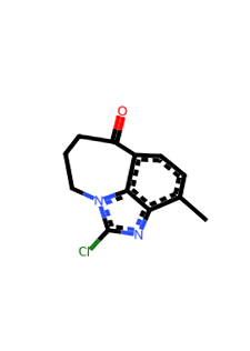 Cc1ccc2c3c1nc(Cl)n3CCCC2=O